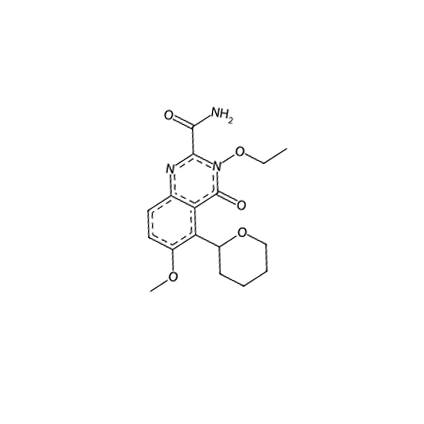 CCOn1c(C(N)=O)nc2ccc(OC)c(C3CCCCO3)c2c1=O